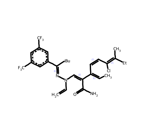 C=CN(/C=C(C(N)=O)/C(/C=C\C(Cl)=C(/C)CC)=C/C)/N=C(/c1cc(C(F)(F)F)cc(C(F)(F)F)c1)C(C)CC